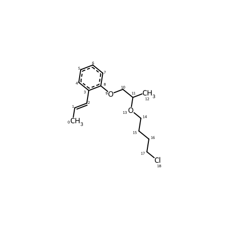 CC=Cc1ccccc1OCC(C)OCCCCCl